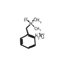 CC[N+](C)(C)Cc1ccccc1.N.[Cl-]